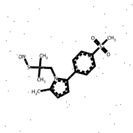 Cc1ccc(-c2ccc(S(C)(=O)=O)cc2)n1CC(C)(C)SN=O